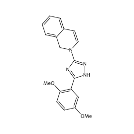 COc1ccc(OC)c(-c2nc(N3C=Cc4ccccc4C3)n[nH]2)c1